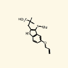 C=CCOc1ccc2[nH]c(CC(C)(C)C(=O)O)c(SC(C)(C)C)c2c1